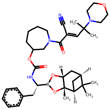 CC1(C)[C@@H]2C[C@H]3OB([C@H](Cc4ccccc4)NC(=O)OC4CCCCN(C(=O)C(C#N)=CC(C)(C)N5CCOCC5)C4)O[C@@]3(C)[C@H]1C2